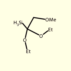 CCOC([SiH3])(COC)OCC